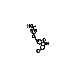 CC(O)c1ncc(OCCN2CCC3(CC2)C(=O)Nc2ccc(Cl)cc23)cn1